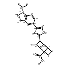 COC(=O)C12CC3C1C1C2C(C)C31c1nc(-c2ccc3c(c2)nnn3C(C)C)no1